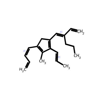 C=C/C=C\C1=C(C)C(/C=C/C)=C(/C=C(/C=C)CCC)C1